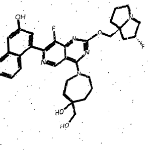 OCC1(O)CCCN(c2nc(OC[C@@]34CCCN3C[C@H](F)C4)nc3c(F)c(-c4cc(O)cc5ccccc45)ncc23)CC1